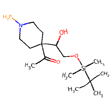 CC(=O)C1(C(O)CO[Si](C)(C)C(C)(C)C)CCN(P)CC1